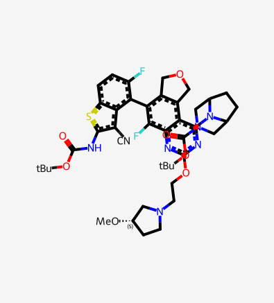 CO[C@H]1CCN(CCOc2nc(N3C4CCC3CN(C(=O)OC(C)(C)C)C4)c3c4c(c(-c5c(F)ccc6sc(NC(=O)OC(C)(C)C)c(C#N)c56)c(F)c3n2)COC4)C1